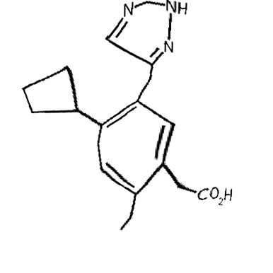 Cc1cc(C2CCC2)c(-c2cn[nH]n2)cc1C(=O)O